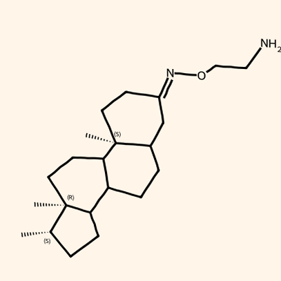 C[C@H]1CCC2C3CCC4CC(=NOCCN)CC[C@]4(C)C3CC[C@@]21C